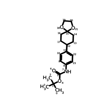 CC(C)(C)OC(=O)Nc1ccc(C2CCC3(CC2)OCCO3)cc1